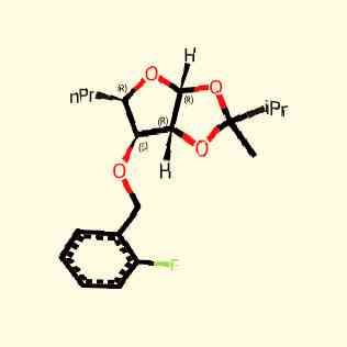 CCC[C@H]1O[C@@H]2OC(C)(C(C)C)O[C@@H]2[C@H]1OCc1ccccc1F